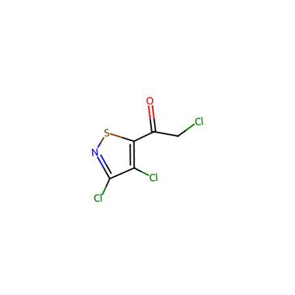 O=C(CCl)c1snc(Cl)c1Cl